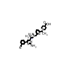 CC(c1cccc(CN(N)/C=C(\N)c2cc(-c3cccc(C#N)c3)nc(N)n2)n1)N1CCC(C(=O)O)CC1